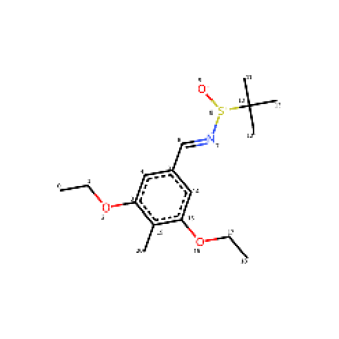 CCOc1cc(/C=N/[S+]([O-])C(C)(C)C)cc(OCC)c1C